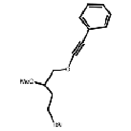 CCC(C)CCC(COC#Cc1ccccc1)OC